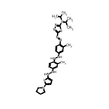 Cc1cc(NNc2ccc(NNc3ccc(N4CCCC4)s3)cc2C)ccc1/N=N/c1nnc(N(C(C)C)C(C)C)s1